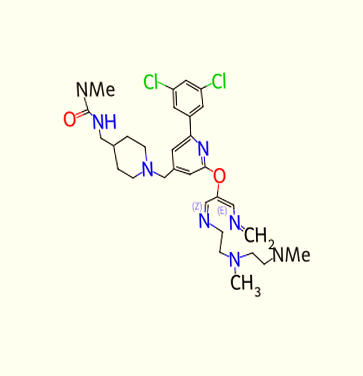 C=N/C=C(\C=N/CCN(C)CCNC)Oc1cc(CN2CCC(CNC(=O)NC)CC2)cc(-c2cc(Cl)cc(Cl)c2)n1